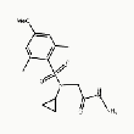 COc1cc(C)c(S(=O)(=O)N(CC(=O)NN)C2CC2)c(C)c1